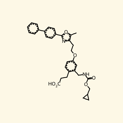 Cc1oc(-c2ccc(-c3ccccc3)cc2)nc1CCOc1ccc(CCC(=O)O)c(CNC(=O)OCC2CC2)c1